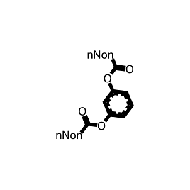 CCCCCCCCCC(=O)Oc1cccc(OC(=O)CCCCCCCCC)c1